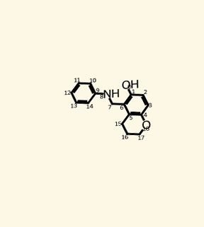 Oc1ccc2c(c1CNc1ccccc1)CCCO2